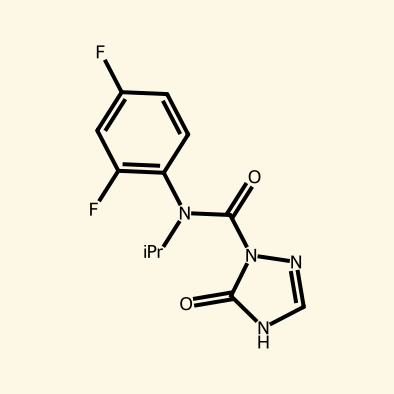 CC(C)N(C(=O)n1nc[nH]c1=O)c1ccc(F)cc1F